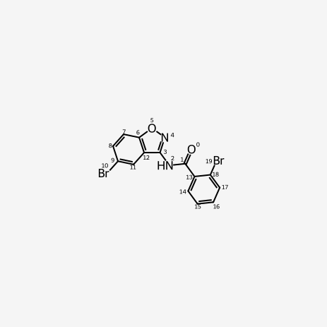 O=C(Nc1noc2ccc(Br)cc12)c1ccccc1Br